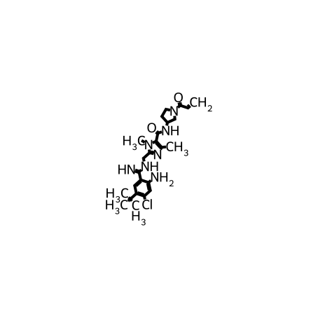 C=CC(=O)N1CCC(NC(=O)c2c(C)nc(CNC(=N)c3cc(C(C)(C)C)c(Cl)cc3N)n2C)C1